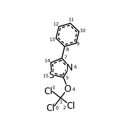 ClC(Cl)(Cl)Oc1nc(-c2ccccc2)cs1